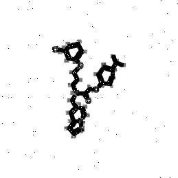 CC(C)c1ccc(OCC(=O)N(CCCOc2cccc(Cl)c2)Cc2ccn3nccc3c2)cc1